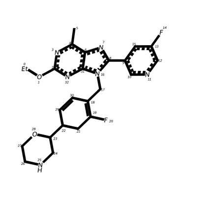 CCOc1nc(C)c2nc(-c3cncc(F)c3)n(CC3=C(F)CC(C4CNCCO4)C=C3)c2n1